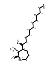 N[C@@H]1C(=O)NCCCC1C(=O)CCCCCCCCCCBr